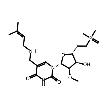 C=P(C)(C)CC[C@H]1O[C@@H](n2cc(CNCC=C(C)C)c(=O)[nH]c2=O)[C@H](OC)[C@@H]1O